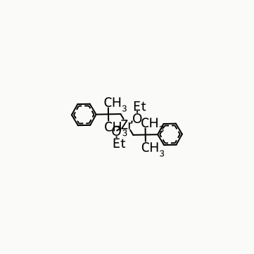 CC[O][Zr]([CH2]C(C)(C)c1ccccc1)([CH2]C(C)(C)c1ccccc1)[O]CC